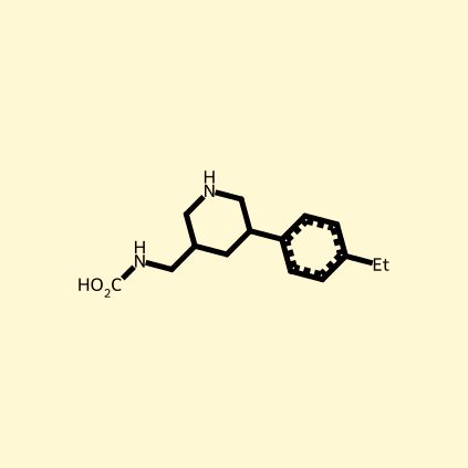 CCc1ccc(C2CNCC(CNC(=O)O)C2)cc1